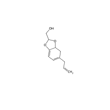 C=CCC1=CC=C2OC(CO)OC2C1